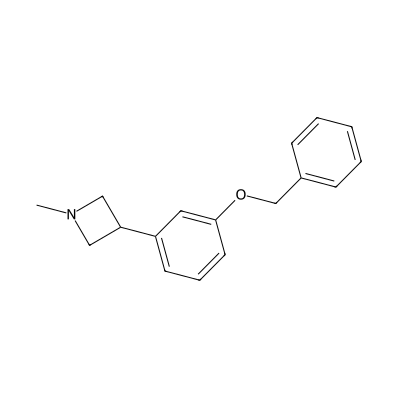 CN1CC(c2cccc(OCc3ccccc3)c2)C1